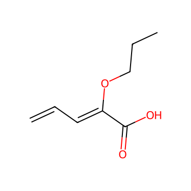 C=CC=C(OCCC)C(=O)O